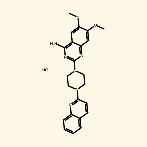 COc1cc2nc(N3CCN(c4ccc5ccccc5n4)CC3)nc(N)c2cc1OC.Cl